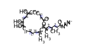 CC(/C=C/C(=O)N=[N+]=[N-])=C\[C@H](C)[C@@H]1C/C(C)=C/C=C/CC[C@@H](O)[C@H](O)/C=C/[C@H](O)CCC/C=C/C(=O)O1